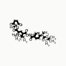 CC(C)(C)OC(=O)N(N)c1ccc(C(=O)NOC(=O)C(C[C@H](N)C(=O)O[N+]2(O)C(=O)CCC2=O)C(C)(C)C)cn1